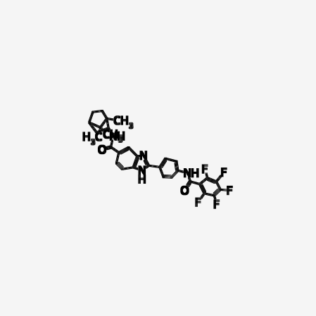 CC1(C)C2CCC1(C)C(NC(=O)c1ccc3[nH]c(-c4ccc(NC(=O)c5c(F)c(F)c(F)c(F)c5F)cc4)nc3c1)C2